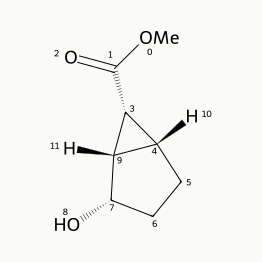 COC(=O)[C@@H]1[C@@H]2CC[C@H](O)[C@@H]21